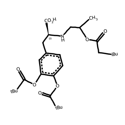 CCC(C)CC(=O)OC(C)CN[C@@H](Cc1ccc(OC(=O)C(C)(C)C)c(OC(=O)C(C)(C)C)c1)C(=O)O